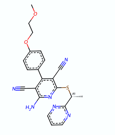 COCCOc1ccc(-c2c(C#N)c(N)nc(S[C@H](C)c3ncccn3)c2C#N)cc1